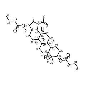 C=C(C)[C@@H]1CC[C@]2(COC(=O)CCC)CC[C@]3(C)[C@H](CCC4[C@@]5(C)CC[C@H](OC(=O)CCC)C(C)(C)[C@@H]5CC[C@]43C)C12